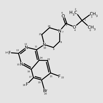 CC(C)(C)OC(=O)N1CCN(c2nc(F)nc3c(F)c(Br)c(F)cc23)CC1